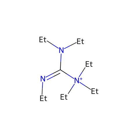 CCN=C(N(CC)CC)[N+](CC)(CC)CC